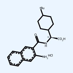 CC(C)(C)C1CCC([C@H](NC(=O)c2cc3ccccc3cc2N)C(=O)O)CC1.Cl